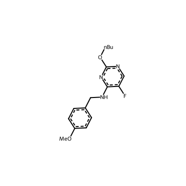 CCCCOc1ncc(F)c(NCc2ccc(OC)cc2)n1